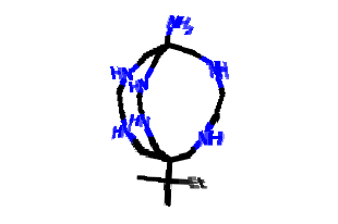 CCC(C)(C)C12CNCCNCC(N)(CNCCNC1)CNCCNC2